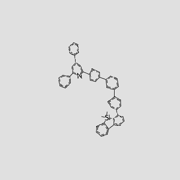 C[Si]1(C)c2ccccc2-c2cccc(-c3ccc(-c4cccc(-c5ccc(-c6cc(-c7ccccc7)cc(-c7ccccc7)n6)cc5)c4)cc3)c21